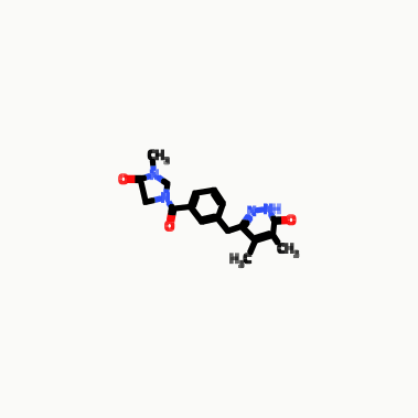 Cc1c(Cc2cccc(C(=O)N3CC(=O)N(C)C3)c2)n[nH]c(=O)c1C